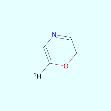 [2H]C1=CN=CCO1